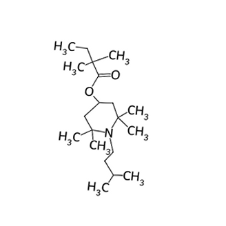 CCC(C)(C)C(=O)OC1CC(C)(C)N(CCC(C)C)C(C)(C)C1